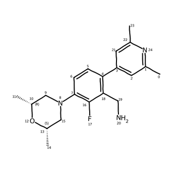 Cc1cc(-c2ccc(N3C[C@@H](C)O[C@@H](C)C3)c(F)c2CN)cc(C)n1